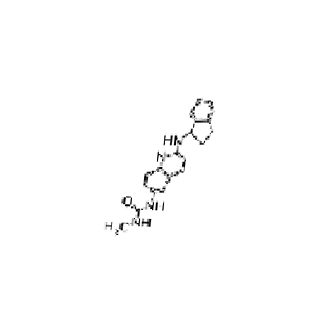 CNC(=O)Nc1ccc2nc(N[C@@H]3CCc4ccccc43)ccc2c1